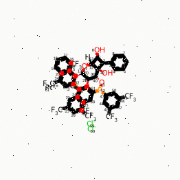 OC1C(c2ccccc2)[C@@]2(O)[C@@H]1O[C@@H](Oc1ccccc1)[C@H](OP(c1cc(C(F)(F)F)cc(C(F)(F)F)c1)c1cc(C(F)(F)F)cc(C(F)(F)F)c1)[C@H]2OP(c1cc(C(F)(F)F)cc(C(F)(F)F)c1)c1cc(C(F)(F)F)cc(C(F)(F)F)c1.[Cl-].[Cl-].[Pt+2]